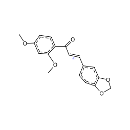 COc1ccc(C(=O)/C=C/c2ccc3c(c2)OCO3)c(OC)c1